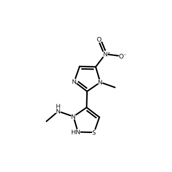 CNN1NSC=C1c1ncc([N+](=O)[O-])n1C